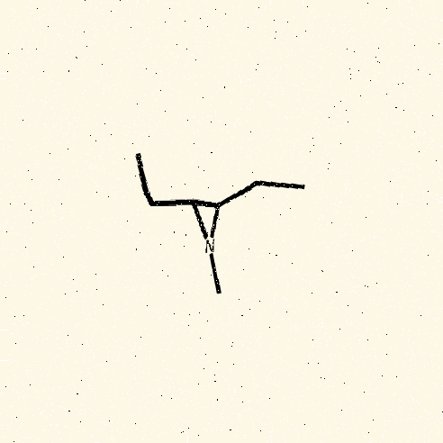 CCC1C(CC)N1C